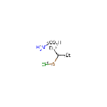 CCC(CC)SCl.NC(=O)O